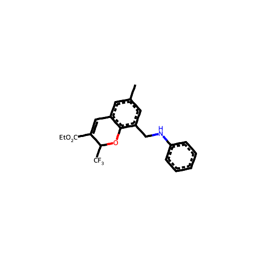 CCOC(=O)C1=Cc2cc(C)cc(CNc3ccccc3)c2OC1C(F)(F)F